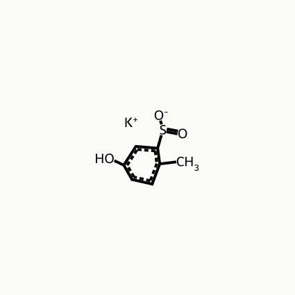 Cc1ccc(O)cc1S(=O)[O-].[K+]